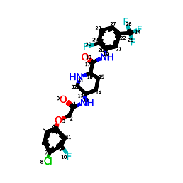 O=C(COc1ccc(Cl)c(F)c1)NC1CCC(C(=O)Nc2cc(C(F)(F)F)ccc2F)NC1